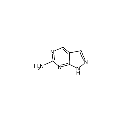 Nc1ncc2cn[nH]c2n1